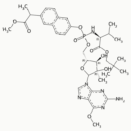 COC(=O)C(C)c1ccc2cc(OP(=O)(N[C@H](C(=O)OCC(C)(C)C)C(C)C)OC[C@H]3OC(n4cnc5c(OC)nc(N)nc54)[C@](C)(O)[C@@H]3O)ccc2c1